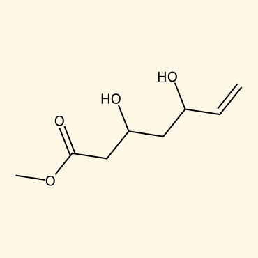 C=CC(O)CC(O)CC(=O)OC